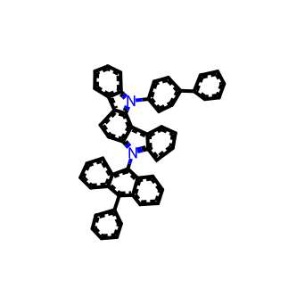 c1ccc(-c2ccc(-n3c4ccccc4c4ccc5c(c6ccccc6n5-c5c6ccccc6c(-c6ccccc6)c6ccccc56)c43)cc2)cc1